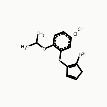 CC(C)Oc1ccccc1SC1=[C]([Ti+2])CC=C1.[Cl-].[Cl-]